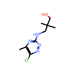 Cc1nc(NCC(C)(C)CO)nnc1Cl